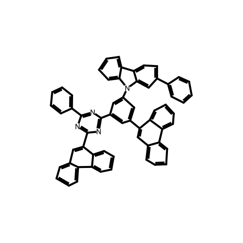 c1ccc(-c2ccc3c4ccccc4n(-c4cc(-c5nc(-c6ccccc6)nc(-c6cc7ccccc7c7ccccc67)n5)cc(-c5cc6ccccc6c6ccccc56)c4)c3c2)cc1